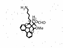 COC(=O)C(C(=O)[C@@H](N)CCCCN)(C1c2ccccc2-c2ccccc21)C(C)(C)O[C]=O